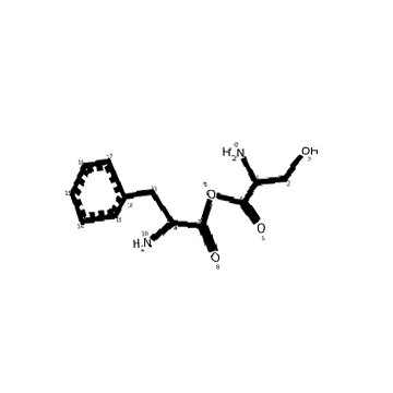 NC(CO)C(=O)OC(=O)C(N)Cc1ccccc1